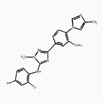 COc1cc(-c2nc(Nc3ccc(F)cc3Cl)n(C)n2)ccc1-n1cnc(C)c1